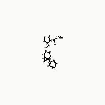 COC(=O)N1CCCC1COC1CCC2(c3ccccc3)CC2C1